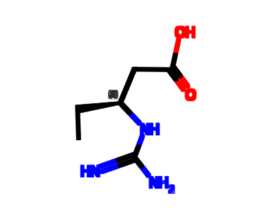 CC[C@@H](CC(=O)O)NC(=N)N